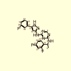 CC(Nc1ncnc(Nc2cc(-c3cccc(F)c3)[nH]n2)n1)c1ccc(F)cc1F